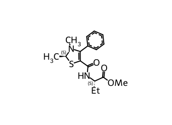 CC[C@H](NC(=O)C1=C(c2ccccc2)N(C)[C@H](C)S1)C(=O)OC